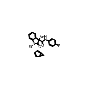 CCN1C(=O)C(C(C)=O)(C(=O)Nc2ccc(F)cc2)c2ccccc21.c1cc2cc-2c1